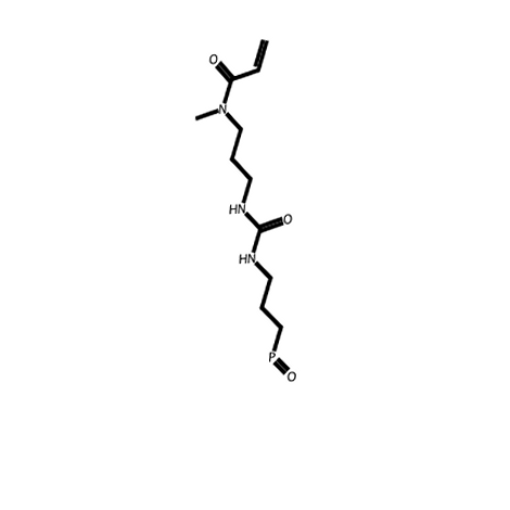 C=CC(=O)N(C)CCCNC(=O)NCCCP=O